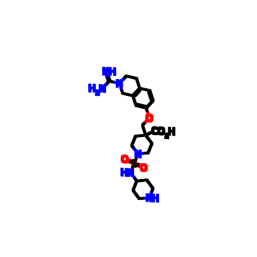 N=C(N)N1CCc2ccc(OCC3(C(=O)O)CCN(S(=O)(=O)NC4CCNCC4)CC3)cc2C1